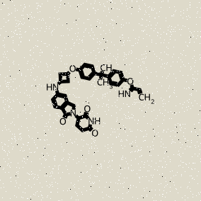 C=CC(=N)Oc1ccc(C(C)(C)c2ccc(OC3CC(Nc4ccc5c(c4)CN(C4CCC(=O)NC4=O)C5=O)C3)cc2)cc1